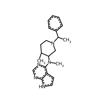 CC1CCN(C(C)c2ccccc2)CC1N(C)c1ncnc2[nH]ccc12